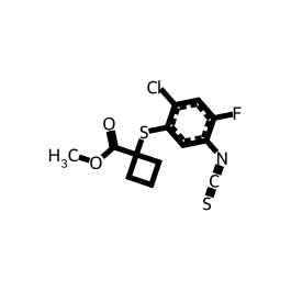 COC(=O)C1(Sc2cc(N=C=S)c(F)cc2Cl)CCC1